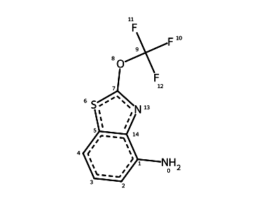 Nc1cccc2sc(OC(F)(F)F)nc12